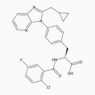 O=C(N[C@@H](Cc1ccc(-n2c(CC3CC3)nc3cccnc32)cc1)C(=O)O)c1cc(F)ccc1Cl